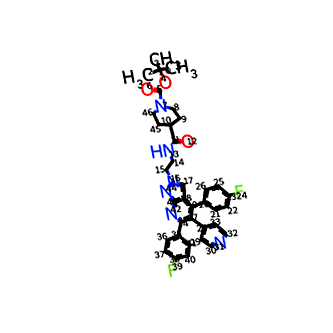 CC(C)(C)OC(=O)N1CCC(C(=O)NCCn2cc3c(-c4ccc(F)cc4)c(-c4ccncc4)c(-c4ccc(F)cc4)nc3n2)CC1